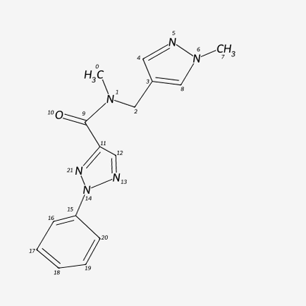 CN(Cc1cnn(C)c1)C(=O)c1cnn(-c2ccccc2)n1